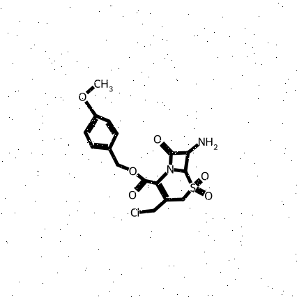 COc1ccc(COC(=O)C2=C(CCl)CS(=O)(=O)C3C(N)C(=O)N23)cc1